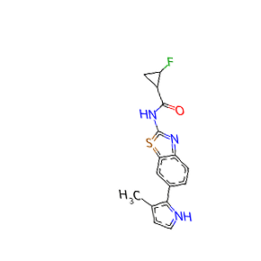 Cc1cc[nH]c1-c1ccc2nc(NC(=O)C3CC3F)sc2c1